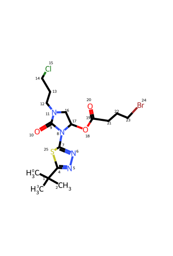 CC(C)(C)c1nnc(N2C(=O)N(CCCCl)CC2OC(=O)CCCBr)s1